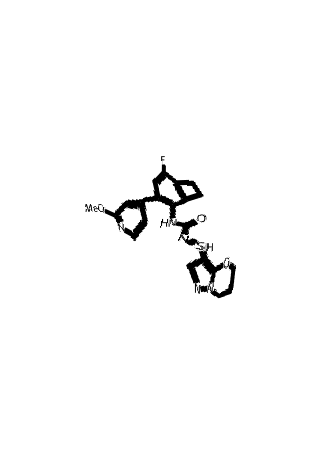 COc1cc(-c2cc(F)c3c(c2NC(=O)N=[SH]c2cnn4c2OCCC4)CC3)ccn1